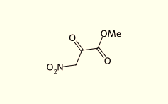 COC(=O)C(=O)C[N+](=O)[O-]